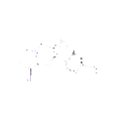 C=C(CN1CCOC(I)C1)C(=O)c1ccc([N+](=O)[O-])cc1